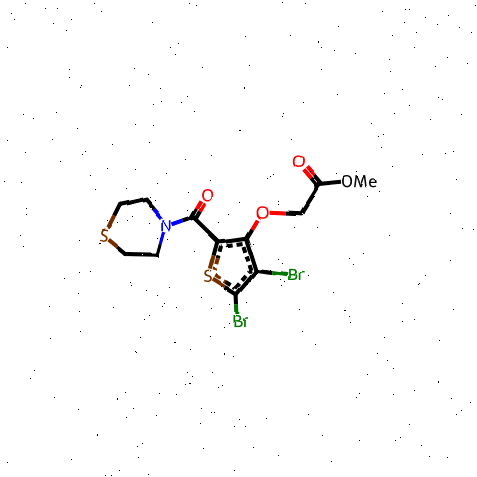 COC(=O)COc1c(C(=O)N2CCSCC2)sc(Br)c1Br